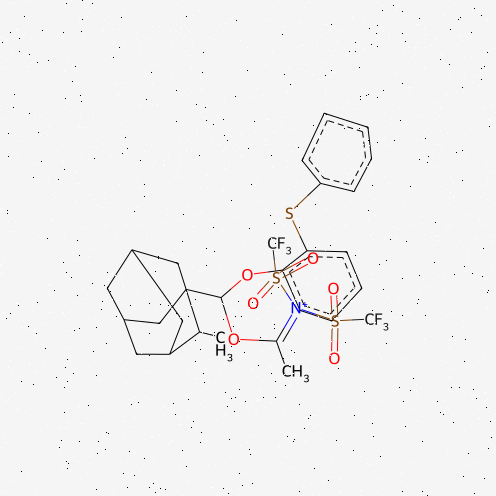 CC(OC(Oc1ccccc1Sc1ccccc1)C12CC3CC(CC(C3)C1C)C2)=[N+](S(=O)(=O)C(F)(F)F)S(=O)(=O)C(F)(F)F